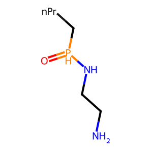 CCCC[PH](=O)NCCN